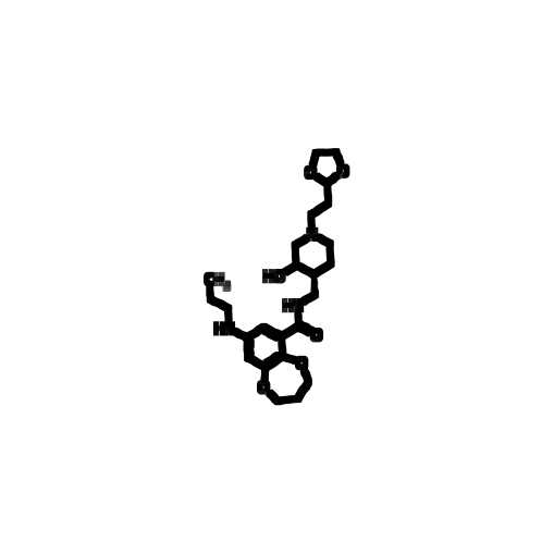 CCCNc1cc2c(c(C(=O)NC[C@@H]3CCN(CCC4OCCO4)CC3O)c1)OCCCO2